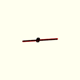 CCCCCCCCCCCCCCCCCCCCCCCCCCCCCCCCCCC(=O)OCCCCCCCCCCCCCCCCCCCCCCCCCCC